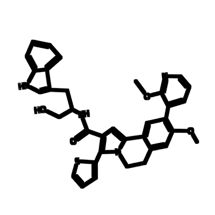 COc1cc2c(cc1-c1cccnc1OC)-c1cc(C(=O)NC(CO)Cc3c[nH]c4ccccc34)c(-c3cccs3)n1CC2